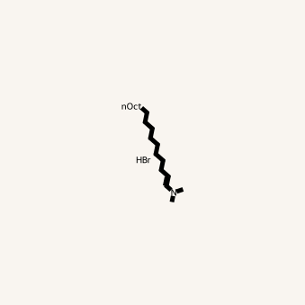 Br.CCCCCCCCCCCCCCCCC=CN(C)C